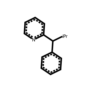 CC(C)C(c1ccccc1)c1ccccn1